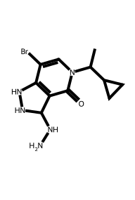 CC(C1CC1)n1cc(Br)c2c(c1=O)C(NN)NN2